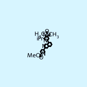 COC(=O)c1ccc(-c2cc3cccc(-c4cc5c(c(C(C)C)n4)n(C)c(=O)n5C)c3cn2)cn1